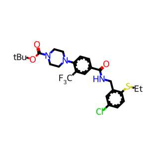 CCSc1ccc(Cl)cc1CNC(=O)c1ccc(N2CCN(C(=O)OC(C)(C)C)CC2)c(C(F)(F)F)c1